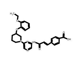 CCOc1ccccc1OC1CCCN(c2cncc(NC(=O)C=Cc3ccc(C(=O)O)cc3)n2)C1